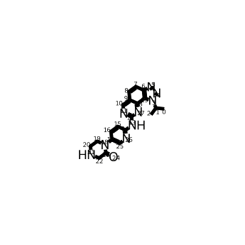 CC(C)n1nnc2ccc3cnc(Nc4ccc(N5CCNCC5=O)cn4)nc3c21